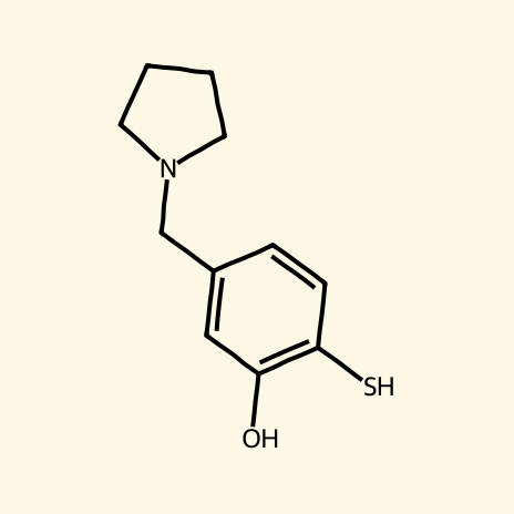 Oc1cc(CN2CCCC2)ccc1S